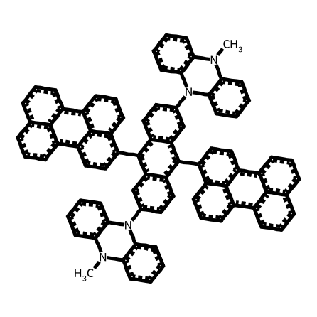 CN1c2ccccc2N(c2ccc3c(-c4ccc5c6cccc7cccc(c8cccc4c85)c76)c4cc(N5c6ccccc6N(C)c6ccccc65)ccc4c(-c4ccc5c6cccc7cccc(c8cccc4c85)c76)c3c2)c2ccccc21